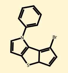 BrC1=C2c3c(ccn3-c3ccccc3)SC2C=C1